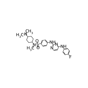 CN(C)C1CCC(N(C)S(=O)(=O)c2ccc(Nc3nccc(Nc4ccc(F)cc4)n3)cc2)CC1